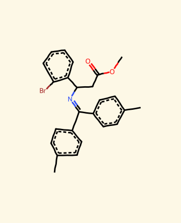 COC(=O)CC(N=C(c1ccc(C)cc1)c1ccc(C)cc1)c1ccccc1Br